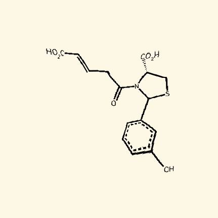 O=C(O)C=CCC(=O)N1C(c2cccc(O)c2)SC[C@H]1C(=O)O